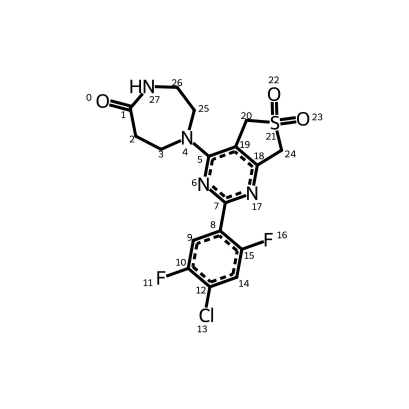 O=C1CCN(c2nc(-c3cc(F)c(Cl)cc3F)nc3c2CS(=O)(=O)C3)CCN1